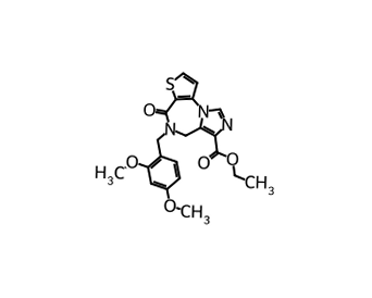 CCOC(=O)c1ncn2c1CN(Cc1ccc(OC)cc1OC)C(=O)c1sccc1-2